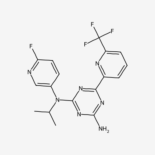 CC(C)N(c1ccc(F)nc1)c1nc(N)nc(-c2cccc(C(F)(F)F)n2)n1